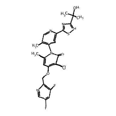 Cc1cnc(-c2nc(C(C)(C)O)ns2)cc1-n1c(C)cc(OCc2ncc(F)cc2F)c(Cl)c1=O